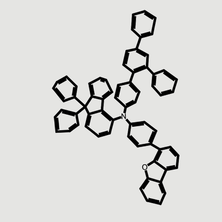 c1ccc(-c2ccc(-c3ccc(N(c4ccc(-c5cccc6c5oc5ccccc56)cc4)c4cccc5c4-c4ccccc4C5(c4ccccc4)c4ccccc4)cc3)c(-c3ccccc3)c2)cc1